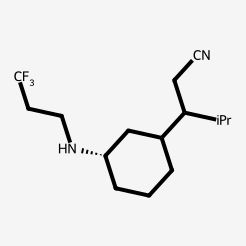 CC(C)C(CC#N)C1CCC[C@H](NCCC(F)(F)F)C1